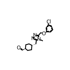 Cn1c(COc2cccc(Cl)c2)nnc1C[C@H]1CC[C@H](C=O)CC1